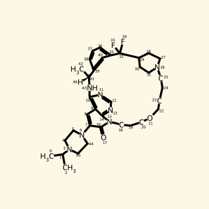 CC(C)N1CCN(c2cc3c4ncnc3n(c2=O)CCCOCCCCN2CCC(CC2)C(F)(F)c2cccc(c2)[C@@H](C)N4)CC1